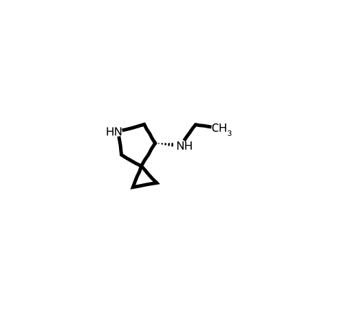 CCN[C@H]1CNCC12CC2